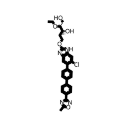 CCO[C@H](CO)[C@@H](O)CCOc1nc2cc(-c3ccc(-c4ccc(-c5noc(C)n5)cc4)cc3)c(Cl)cc2[nH]1